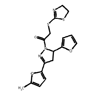 Cc1ccc(C2=NN(C(=O)CSC3=NCCS3)C(c3ccco3)C2)o1